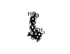 COc1cccc(C(F)(F)F)c1-c1noc(C2CC2)c1COC1CCN(c2nc3ccc(C(=O)O)cc3s2)CC1